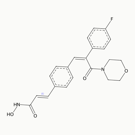 O=C(/C=C/c1ccc(C=C(C(=O)N2CCOCC2)c2ccc(F)cc2)cc1)NO